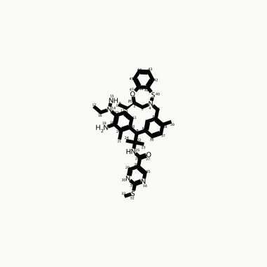 CC[C@@H]1CN(Cc2cc(C(c3ccc(N(N)CC)c(N)c3C)C(C)(C)NC(=O)c3cnc(SC)nc3)ccc2C)Sc2ccccc2O1